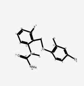 CCc1ccc(OCc2c(F)cccc2N(C)C(=O)NC)c(C)c1